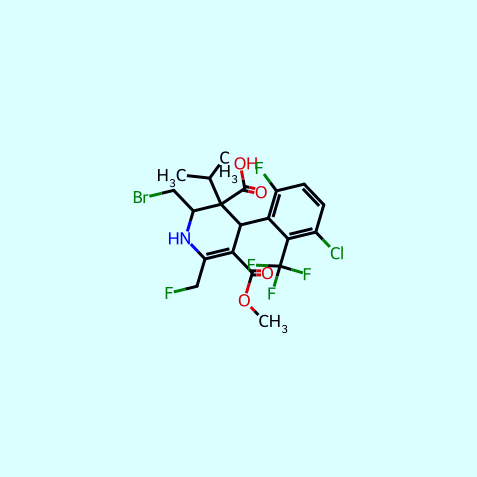 COC(=O)C1=C(CF)NC(CBr)C(C(=O)O)(C(C)C)C1c1c(F)ccc(Cl)c1C(F)(F)F